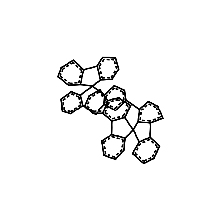 c1ccc2c(c1)Oc1cc(-c3cccc4c3C3(c5ccccc5-4)c4ccccc4-c4c3ccc3ccccc43)ccc1C21c2ccccc2-c2ccccc21